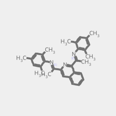 C/C(=N\c1c(C)cc(C)cc1C)c1cc2ccccc2c(/C(C)=N/c2c(C)cc(C)cc2C)n1